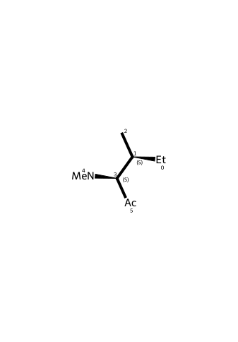 CC[C@H](C)[C@H](NC)C(C)=O